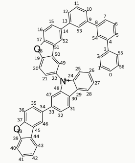 c1ccc(-c2cccc(-c3cccc(-c4ccc5oc6ccc(-n7c8ccccc8c8ccc(-c9ccc%10oc%11ccccc%11c%10c9)cc87)cc6c5c4)c3)c2)cc1